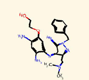 CN(C)CC1=NN(Cc2ccccc2)C(=N)C1=Nc1cc(OCCO)c(N)cc1N